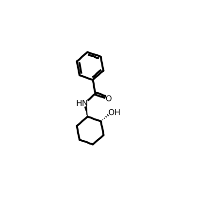 O=C(N[C@@H]1CCCC[C@H]1O)c1ccccc1